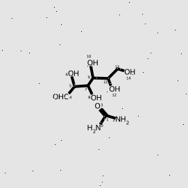 NC(N)=O.O=CC(O)C(O)C(O)C(O)CO